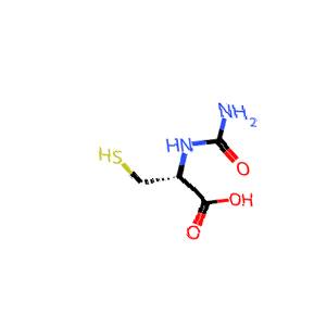 NC(=O)N[C@@H](CS)C(=O)O